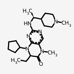 CCC1C(=O)N(C)c2cnc(N[C@@H](C)C3CCN(C)CC3)nc2N1C1CCCC1